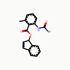 Cc1cccc(NC(=O)C(C)C)c1C(=O)OC1C=Cc2ccccc21